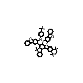 CC(C)(C)c1ccc(N2B3c4cc5c(cc4-n4c6cc7c(cc6c6c8c(c(c3c64)-c3cc4c(cc32)oc2ccccc24)C(C)(C)c2ccccc2-8)C(C)(C)CCC7(C)C)oc2ccccc25)cc1